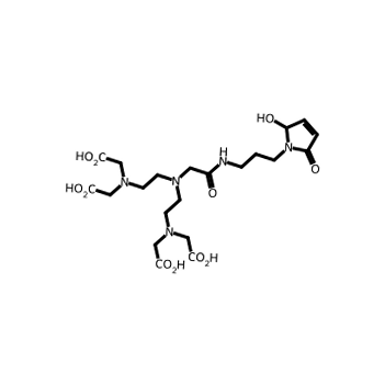 O=C(O)CN(CCN(CCN(CC(=O)O)CC(=O)O)CC(=O)NCCCN1C(=O)C=CC1O)CC(=O)O